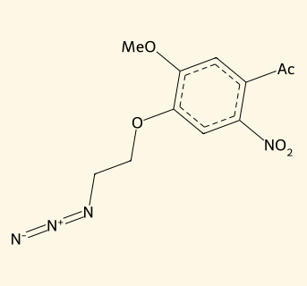 COc1cc(C(C)=O)c([N+](=O)[O-])cc1OCCN=[N+]=[N-]